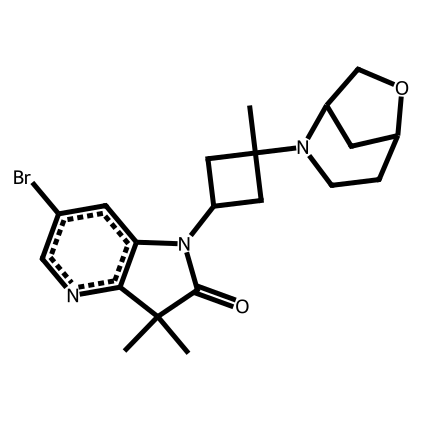 CC1(C)C(=O)N(C2CC(C)(N3CCC4CC3CO4)C2)c2cc(Br)cnc21